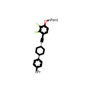 CCCCCOc1ccc(C#C[C@H]2CC[C@H](c3ccc(CCC)cc3)CC2)c(F)c1F